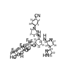 N#Cc1ccc(N2CCC[C@H](N[C@@H]3CCCC[C@H]3Nc3cc(-c4cc[nH]n4)ccn3)C2)cc1.O=C(O)C(F)(F)F.O=C(O)C(F)(F)F.O=C(O)C(F)(F)F